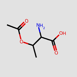 CC(=O)OC(C)C(N)C(=O)O